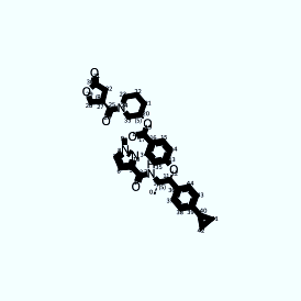 C[C@H](NC(=O)c1ccn(C)n1)[C@H](Oc1ccc(C(=O)O[C@H]2CCCN(C(=O)[C@H]3COC(=O)C3)C2)cc1)c1ccc(C2CC2)cc1